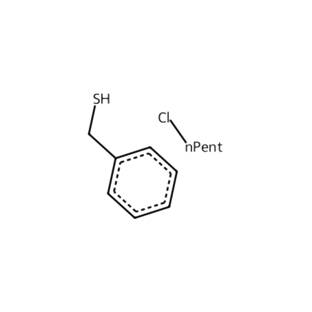 CCCCCCl.SCc1ccccc1